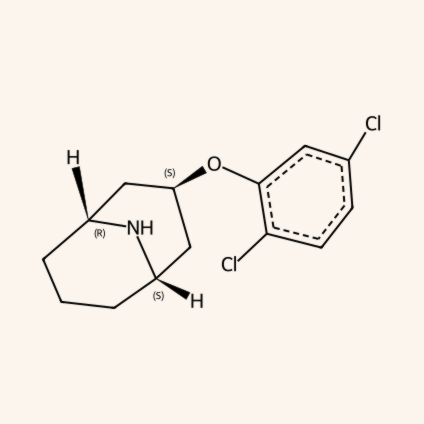 Clc1ccc(Cl)c(O[C@@H]2C[C@H]3CCC[C@@H](C2)N3)c1